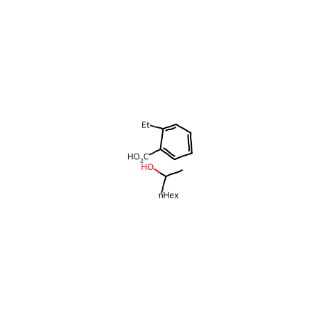 CCCCCCC(C)O.CCc1ccccc1C(=O)O